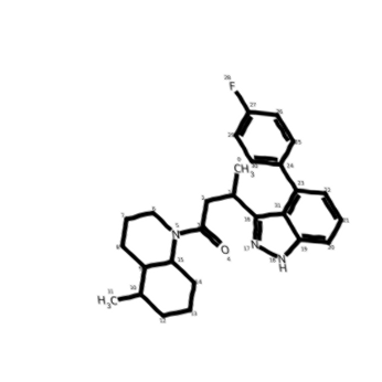 CC(CC(=O)N1CCCC2C(C)CCCC21)c1n[nH]c2cccc(-c3ccc(F)cc3)c12